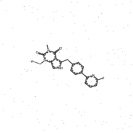 CC(C)Cn1c(=O)n(C)c(=O)c2c(Cc3ccc(-c4cccc(F)n4)cc3)[nH]cc21